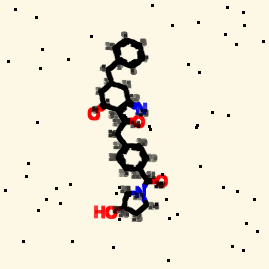 O=C1CC(Cc2ccccc2)Cc2noc(Cc3ccc(C(=O)N4CC[C@@H](O)C4)cc3)c21